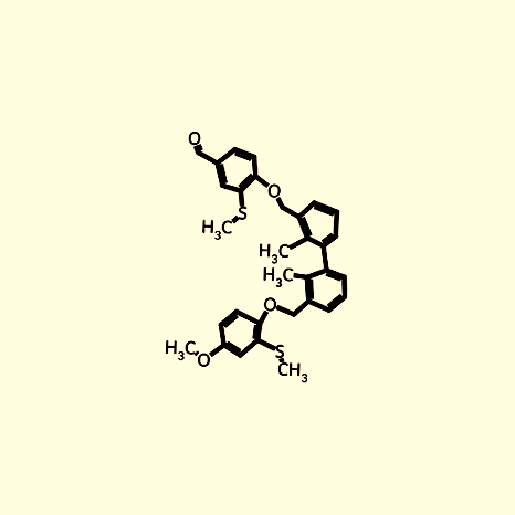 COc1ccc(OCc2cccc(-c3cccc(COc4ccc(C=O)cc4SC)c3C)c2C)c(SC)c1